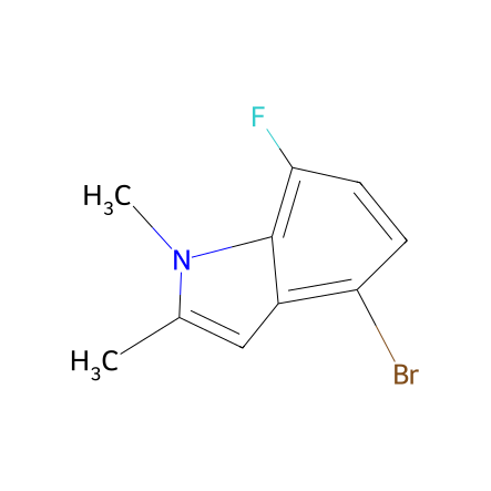 Cc1cc2c(Br)ccc(F)c2n1C